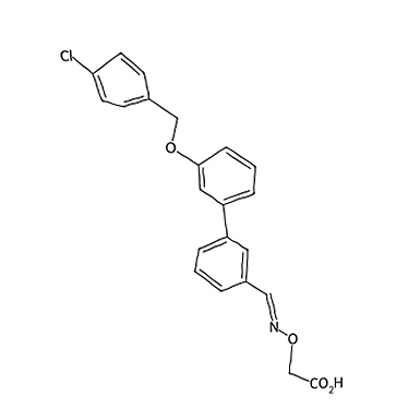 O=C(O)CON=Cc1cccc(-c2cccc(OCc3ccc(Cl)cc3)c2)c1